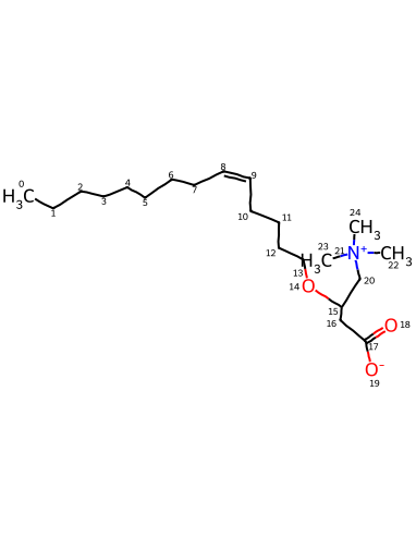 CCCCCCCC/C=C\CCCCOC(CC(=O)[O-])C[N+](C)(C)C